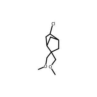 COCC1(COC)CC2CC1CC2Cl